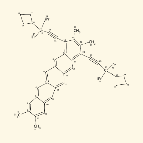 Cc1cc2cc3cc4cc5c(C#C[Si](C(C)C)(C(C)C)C6CCC6)c(C)c(C)c(C#C[Si](C(C)C)(C(C)C)C6CCC6)c5cc4cc3cc2cc1C